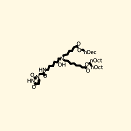 CCCCCCCCCCCOC(=O)CCCCCN(CCCCCCCC(=O)OC(CCCCCCCC)CCCCCCCC)CC(O)CCCCNC(=O)Cn1ccc(=O)[nH]c1=O